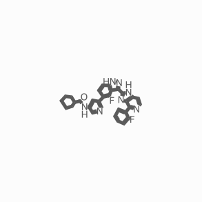 O=C(Nc1cncc(-c2ccc3[nH]nc(-c4nc5c(-c6ccccc6F)nccc5[nH]4)c3c2F)c1)C1CCCCC1